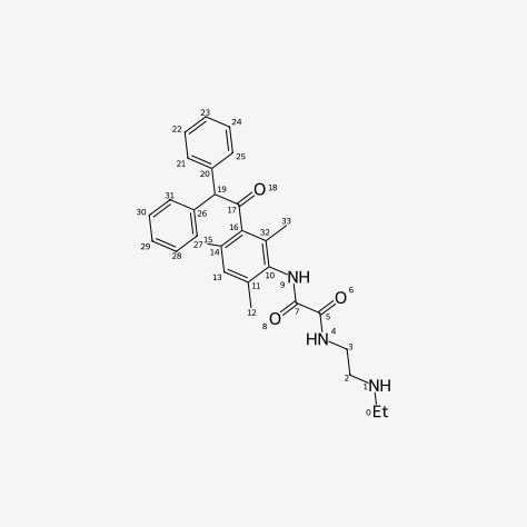 CCNCCNC(=O)C(=O)Nc1c(C)cc(C)c(C(=O)C(c2ccccc2)c2ccccc2)c1C